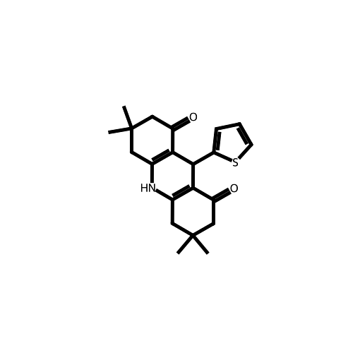 CC1(C)CC(=O)C2=C(C1)NC1=C(C(=O)CC(C)(C)C1)C2c1cccs1